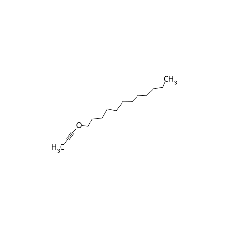 CC#COCCCCCCCCCCCC